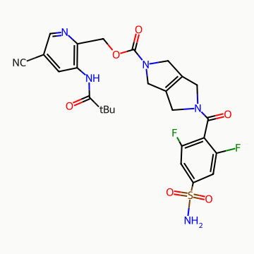 CC(C)(C)C(=O)Nc1cc(C#N)cnc1COC(=O)N1CC2=C(C1)CN(C(=O)c1c(F)cc(S(N)(=O)=O)cc1F)C2